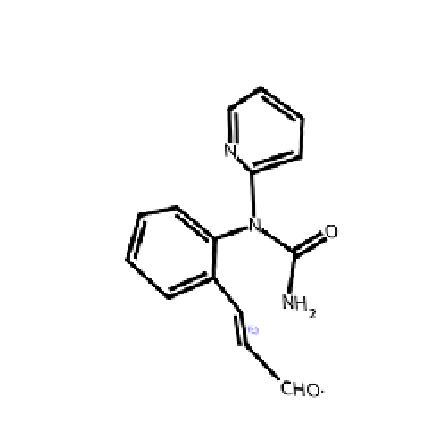 NC(=O)N(c1ccccn1)c1ccccc1/C=C/[C]=O